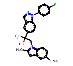 COc1ccc2c(c1)cc(C)n2CC(O)(c1ccc2c(cnn2-c2ccc(F)cc2)c1)C(F)(F)F